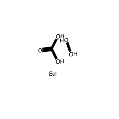 O=C(O)O.OO.[Eu]